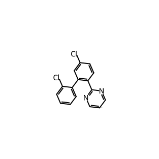 Clc1ccc(-c2nc[c]cn2)c(-c2ccccc2Cl)c1